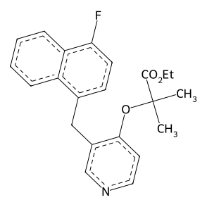 CCOC(=O)C(C)(C)Oc1ccncc1Cc1ccc(F)c2ccccc12